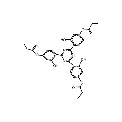 CCC(=O)Oc1ccc(-c2nc(-c3ccc(OC(=O)CC)cc3O)nc(-c3ccc(OC(=O)CC)cc3O)n2)c(O)c1